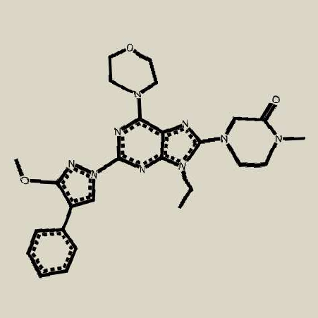 CCn1c(N2CCN(C)C(=O)C2)nc2c(N3CCOCC3)nc(-n3cc(-c4ccccc4)c(OC)n3)nc21